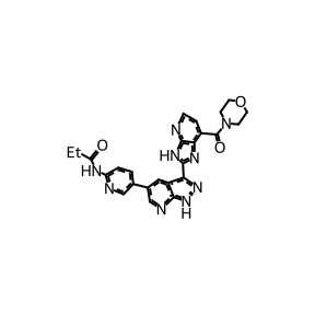 CCC(=O)Nc1ccc(-c2cnc3[nH]nc(-c4nc5c(C(=O)N6CCOCC6)ccnc5[nH]4)c3c2)cn1